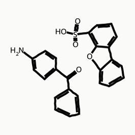 Nc1ccc(C(=O)c2ccccc2)cc1.O=S(=O)(O)c1cccc2c1oc1ccccc12